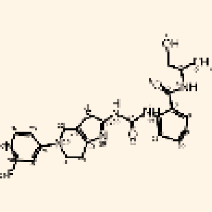 CC(CO)NC(=O)c1ccccc1NC(=O)Nc1nc2c(s1)CN(c1ccnc(F)c1)CC2